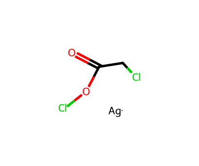 O=C(CCl)OCl.[Ag]